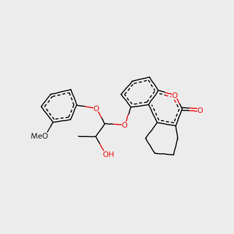 COc1cccc(OC(Oc2cccc3oc(=O)c4c(c23)CCCC4)C(C)O)c1